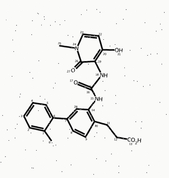 Cc1ccccc1-c1ccc(CCC(=O)O)c(NC(=O)Nc2c(O)ccn(C)c2=O)c1